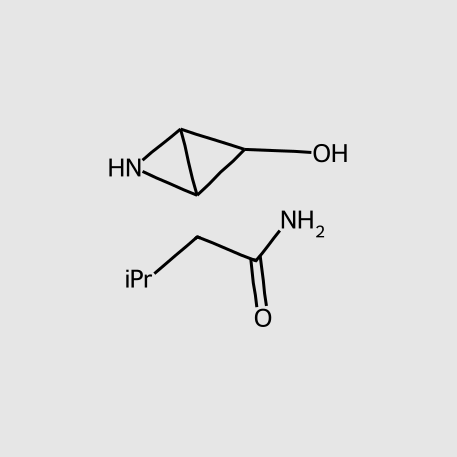 CC(C)CC(N)=O.OC1C2NC12